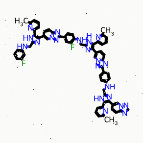 Cc1cccc(-c2[nH]c(CNc3ccc(-c4nc5ccc(-c6nc(CNc7ccc(-c8nc9ccc(-c%10nc(CNc%11cccc(F)c%11)[nH]c%10-c%10cccc(C)n%10)cn9n8)cc7F)[nH]c6-c6cccc(C)n6)cn5n4)cc3)nc2-c2ccc3ncnn3c2)n1